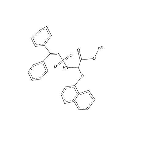 CCCOC(=O)C(NS(=O)(=O)C=C(c1ccccc1)c1ccccc1)Oc1cccc2ccccc12